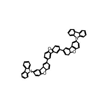 C1=CC2Oc3ccc(-n4c5ccccc5c5ccccc54)cc3C2C=C1c1ccc2oc3ccc(C4=CCC5Oc6ccc(-n7c8ccccc8c8ccccc87)cc6C5=C4)cc3c2c1